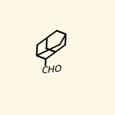 O=CC1C2CC3CC(C2)CC1C3